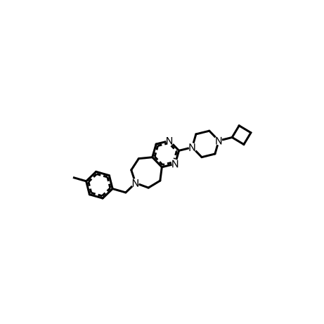 Cc1ccc(CN2CCc3cnc(N4CCN(C5CCC5)CC4)nc3CC2)cc1